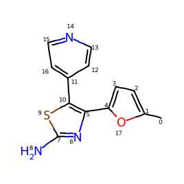 Cc1ccc(-c2nc(N)sc2-c2ccncc2)o1